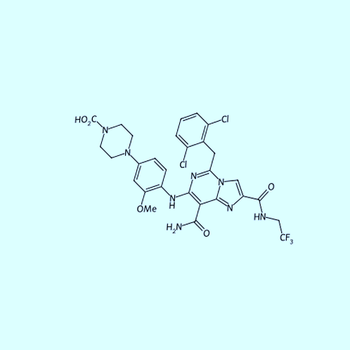 COc1cc(N2CCN(C(=O)O)CC2)ccc1Nc1nc(Cc2c(Cl)cccc2Cl)n2cc(C(=O)NCC(F)(F)F)nc2c1C(N)=O